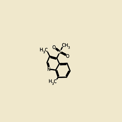 Cc1cnc2c(C)cccc2c1S(C)(=O)=O